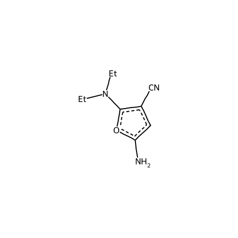 CCN(CC)c1oc(N)cc1C#N